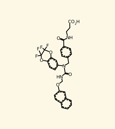 O=C(O)CCNC(=O)c1ccc(CN(C(=O)NCOc2ccc3ccccc3c2)c2ccc3c(c2)OC(F)(F)C(F)(F)O3)cc1